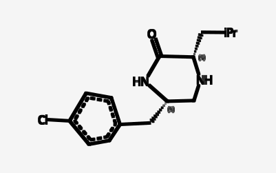 CC(C)C[C@@H]1NC[C@H](Cc2ccc(Cl)cc2)NC1=O